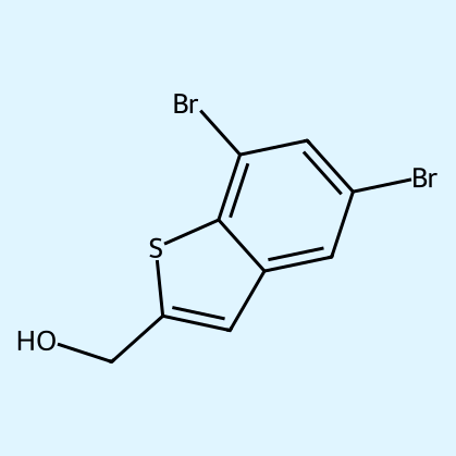 OCc1cc2cc(Br)cc(Br)c2s1